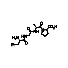 CC(C)C[C@H](N)C(=O)NCC(=O)N[C@@H](C)C(=O)N1CCC[C@H]1C(=O)O